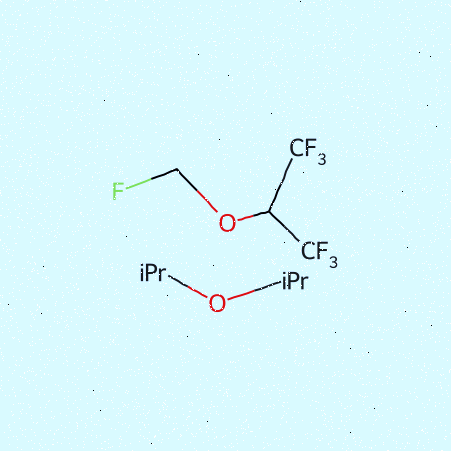 CC(C)OC(C)C.FCOC(C(F)(F)F)C(F)(F)F